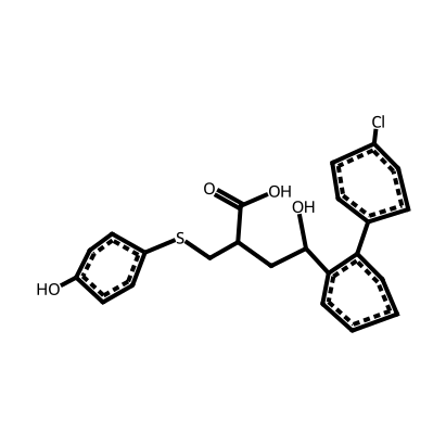 O=C(O)C(CSc1ccc(O)cc1)CC(O)c1ccccc1-c1ccc(Cl)cc1